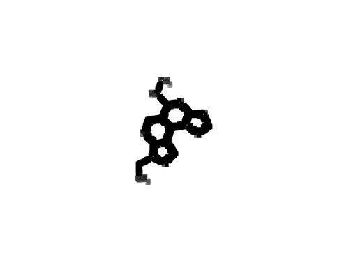 CCn1ncc2c1ncc1c(NC)nc3ncnn3c12